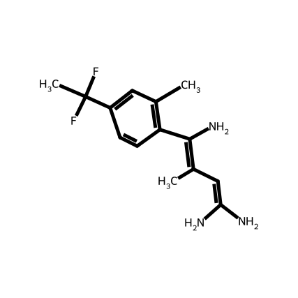 C/C(C=C(N)N)=C(/N)c1ccc(C(C)(F)F)cc1C